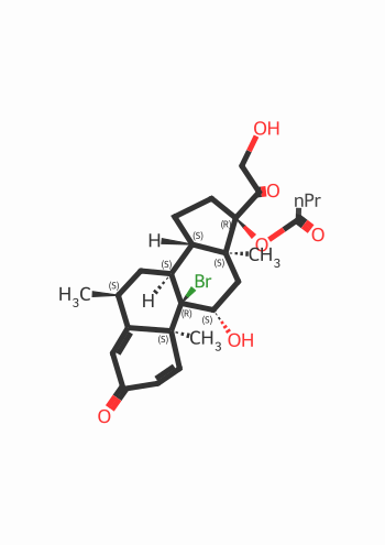 CCCC(=O)O[C@]1(C(=O)CO)CC[C@H]2[C@@H]3C[C@H](C)C4=CC(=O)C=C[C@]4(C)[C@@]3(Br)[C@@H](O)C[C@@]21C